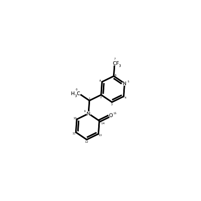 CC(c1ccnc(C(F)(F)F)c1)n1ccccc1=O